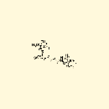 CC(C)(C)ONCCCCCC(=C=O)NOC(C)(C)C